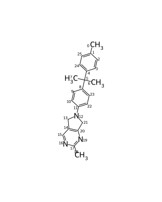 Cc1ccc(C(C)(C)c2ccc(N3Cc4cnc(C)nc4C3)cc2)cc1